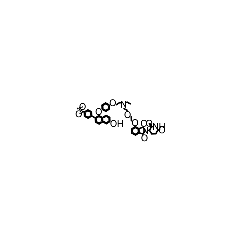 CCN(CCOCCOc1cccc2c1C(=O)N(C1CCC(=O)NC1=O)C2=O)CCOc1ccc(Oc2c(-c3ccc(S(C)(=O)=O)cc3)ccc3cc(O)ccc23)cc1